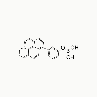 OB(O)Oc1cccc(-c2ccc3ccc4cccc5ccc2c3c45)c1